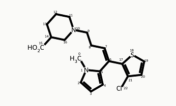 Cn1cccc1/C(=C\CCN1CCCC(C(=O)O)C1)c1sccc1Cl